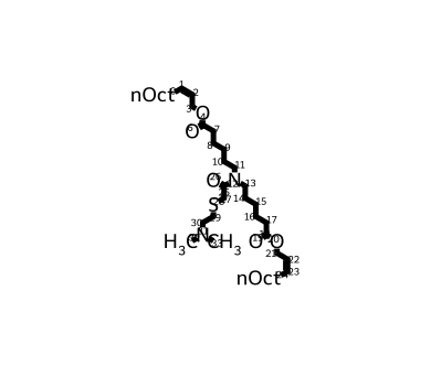 CCCCCCCC/C=C\COC(=O)CCCCCN(CCCCCC(=O)OC/C=C\CCCCCCCC)C(=O)CSCCN(C)C